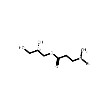 CCN(C)CCC(=O)OC[C@@H](O)CO